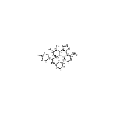 CN1CCN(C(=O)Nc2cccc(-c3cnc(N)c(-c4nnnn4-c4cccc(F)c4F)c3)c2)CC1